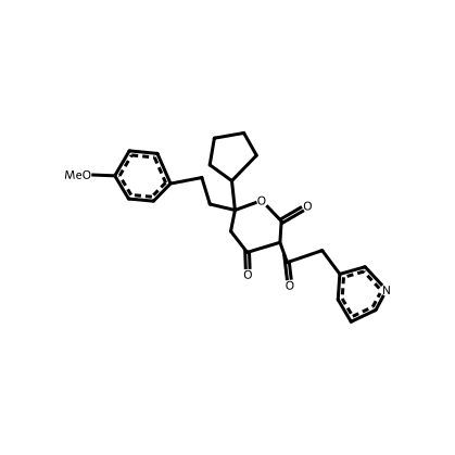 COc1ccc(CCC2(C3CCCC3)CC(=O)C(C(=O)Cc3cccnc3)C(=O)O2)cc1